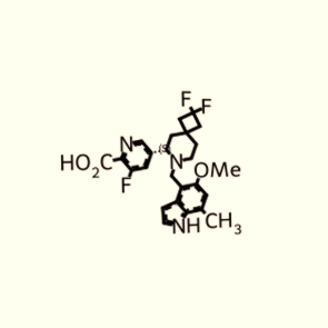 COc1cc(C)c2[nH]ccc2c1CN1CCC2(C[C@H]1c1cnc(C(=O)O)c(F)c1)CC(F)(F)C2